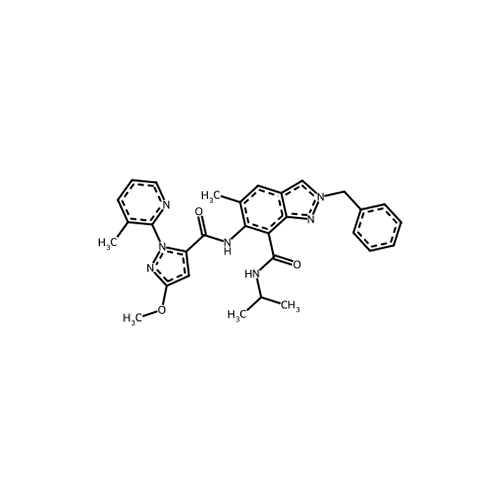 COc1cc(C(=O)Nc2c(C)cc3cn(Cc4ccccc4)nc3c2C(=O)NC(C)C)n(-c2ncccc2C)n1